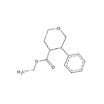 CCOC(=O)C1CCOCC1c1ccccc1